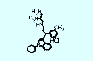 Cc1cccc(C(CCNCC(N)CN)c2cn(C3CCCCC3)c3ccccc23)c1.Cl